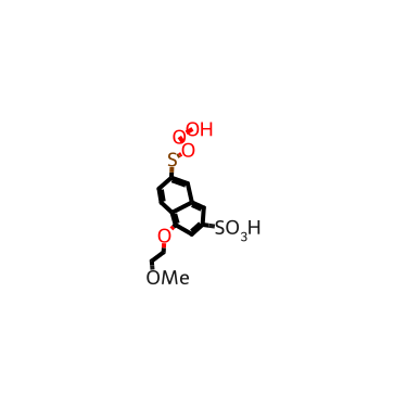 COCCOc1cc(S(=O)(=O)O)cc2cc(SOOO)ccc12